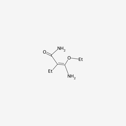 CCO/C(N)=C(/CC)C(N)=O